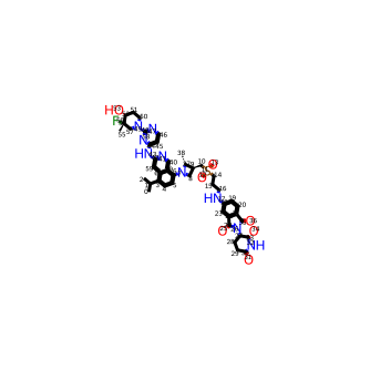 CC(C)c1ccc(N2C[C@H](CS(=O)(=O)CCCNc3ccc4c(c3)C(=O)N(C3CCC(=O)NC3=O)C4=O)[C@H]2C)c2cnc(Nc3ccnc(N4CC[C@@H](O)[C@@](C)(F)C4)n3)cc12